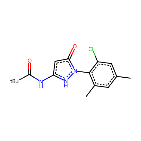 Cc1cc(C)c(-n2[nH]c(NC(=O)C(C)(C)C)cc2=O)c(Cl)c1